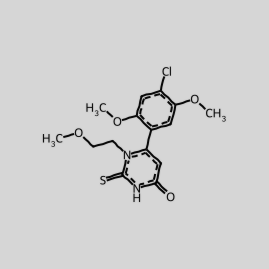 COCCn1c(-c2cc(OC)c(Cl)cc2OC)cc(=O)[nH]c1=S